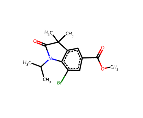 COC(=O)c1cc(Br)c2c(c1)C(C)(C)C(=O)N2C(C)C